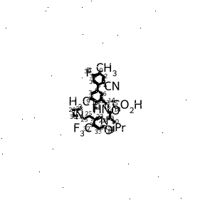 Cc1cc(C#N)c(-c2cc(C)c(F)c([C@H](CC(=O)O)NC(=O)C(CC(C)C)n3cc(CCN4CCC4)c(C(F)(F)F)cc3=O)c2)cc1F